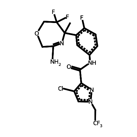 CC1(c2cc(NC(=O)c3nn(CC(F)(F)F)cc3Cl)ccc2F)N=C(N)COCC1(F)F